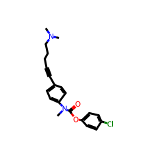 CN(C)CCCC#Cc1ccc(N(C)C(=O)Oc2ccc(Cl)cc2)cc1